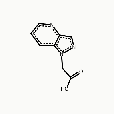 O=C(O)Cn1ncc2ncccc21